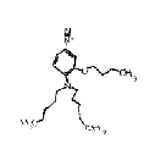 CCCCCN(CCCCC)c1ccc([N+]#N)cc1OCCCC